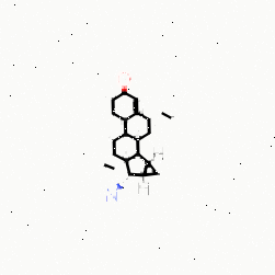 CC[C@@H]1CC2C(CC[C@@]3(CC)C2[C@@H]2C[C@@H]2[C@@H]3C#N)C2CCC(=O)C=C21